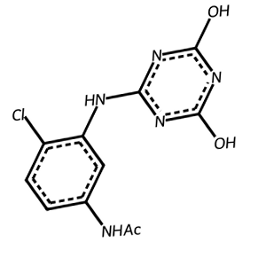 CC(=O)Nc1ccc(Cl)c(Nc2nc(O)nc(O)n2)c1